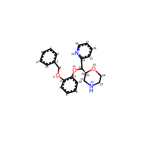 c1ccc(COc2ccccc2OC(c2ccccn2)[C@@H]2CNCCO2)cc1